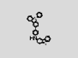 C1=c2sc3ccccc3c2=CC(Nc2ccc(-c3ccc4c(c3)c3ccccc3n4-c3ccccc3)cc2)C1